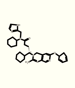 NC1=Nc2cnc(OC3C=CC=CC3)cc2CN1[C@@H](CCC(=O)N(Cc1ncc[nH]1)C1CCCCC1)C1CCCCC1